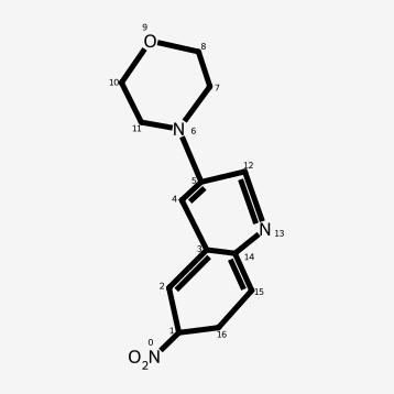 O=[N+]([O-])C1C=c2cc(N3CCOCC3)cnc2=CC1